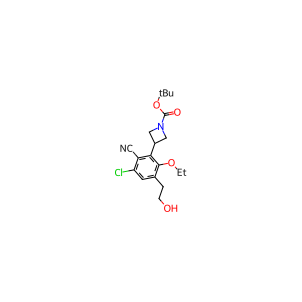 CCOc1c(CCO)cc(Cl)c(C#N)c1C1CN(C(=O)OC(C)(C)C)C1